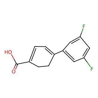 O=C(O)C1=CC=C(c2cc(F)cc(F)c2)CC1